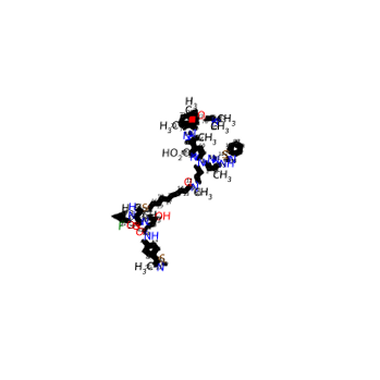 Cc1cc(N(CCCCN(C)C(=O)CCCCCCCCCSC(C)(C)[C@H](NC(=O)C2(F)CC2)C(=O)N2C[C@H](O)C[C@H]2C(=O)NCc2ccc(-c3scnc3C)cc2)c2ccc(-c3cnn(CC45CC6(C)CC(C)(C4)CC(OCCN(C)C)(C6)C5)c3C)c(C(=O)O)n2)nnc1Nc1nc2ccccc2s1